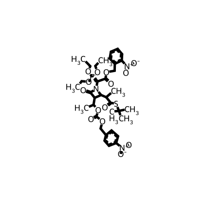 CCOP(OCC)(OCC)=C(C(=O)OCc1ccccc1[N+](=O)[O-])N1C(=O)C(C(C)OC(=O)OCc2ccc([N+](=O)[O-])cc2)C1C(C)C(=O)SC(C)(C)C